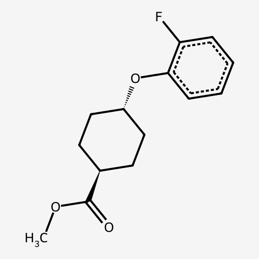 COC(=O)[C@H]1CC[C@H](Oc2ccccc2F)CC1